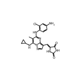 Cc1c(Nc2ccc(N)cc2Cl)nc2c(/C=C3\NC(=O)NC3=O)cnn2c1NC1CC1